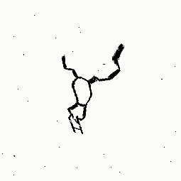 C=C\C=C/C=C1\Cc2c[nH]cc2C\C1=C/C=C